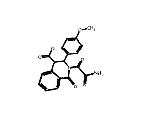 COc1ccc(C2C(C(=O)O)c3ccccc3C(=O)N2C(=O)C(N)=O)cc1